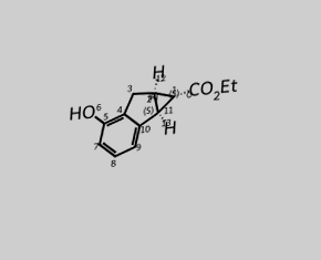 CCOC(=O)[C@H]1[C@@H]2Cc3c(O)cccc3[C@@H]21